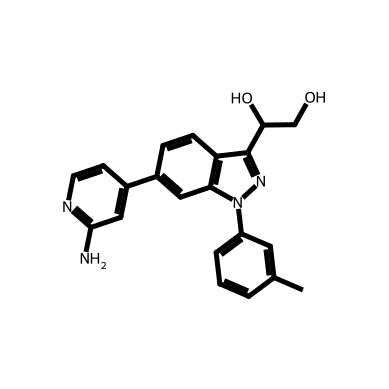 Cc1cccc(-n2nc(C(O)CO)c3ccc(-c4ccnc(N)c4)cc32)c1